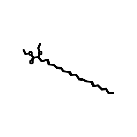 CCC=CCC=CCC=CCC=CCC=CCC=CCC(OCC)C(=O)OCC